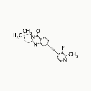 Cc1nccc(C#Cc2ccc3c(=O)n4c(nc3c2)CCC(C)(C)C4)c1F